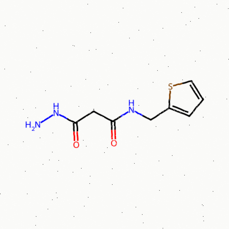 NNC(=O)[CH]C(=O)NCc1cccs1